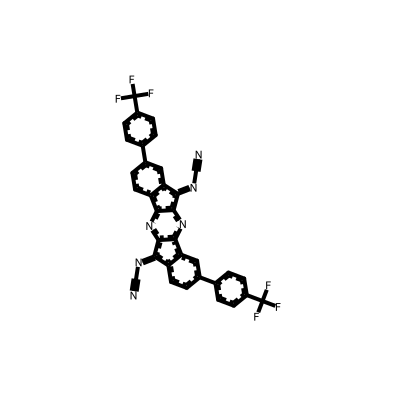 N#C/N=c1\c2cc(-c3ccc(C(F)(F)F)cc3)ccc2c2nc3/c(=N/C#N)c4ccc(-c5ccc(C(F)(F)F)cc5)cc4c3nc12